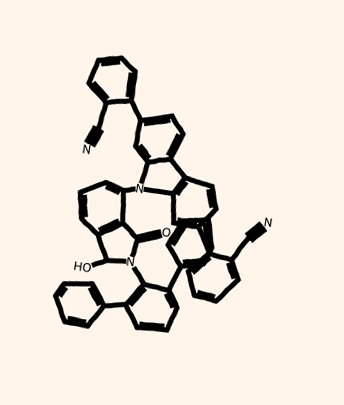 N#Cc1ccccc1-c1ccc2c3ccc(-c4ccccc4C#N)cc3n(-c3cccc4c3C(=O)N(c3c(-c5ccccc5)cccc3-c3ccccc3)C4O)c2c1